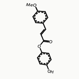 COc1ccc(/C=C/C(=O)Oc2ccc(O)cc2)cc1